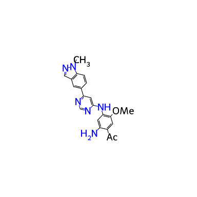 COc1cc(C(C)=O)c(N)cc1Nc1cc(-c2ccc3c(cnn3C)c2)ncn1